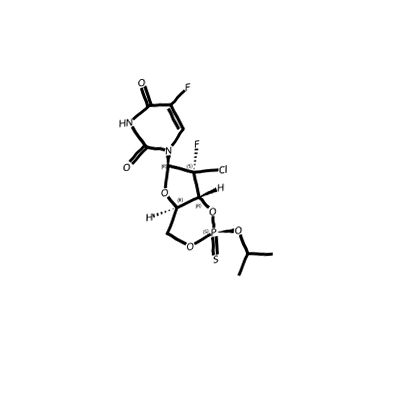 CC(C)O[P@@]1(=S)OC[C@H]2O[C@@H](n3cc(F)c(=O)[nH]c3=O)[C@@](F)(Cl)[C@@H]2O1